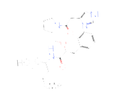 CSCCC(NC(=O)[C@H](Cc1ccccc1)OC[C@@H]1CCCN1C(=O)Cc1c[nH]cn1)C(=O)O